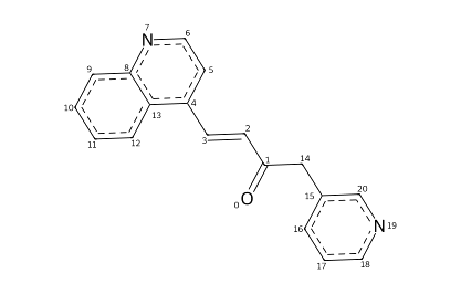 O=C(C=Cc1ccnc2ccccc12)Cc1cccnc1